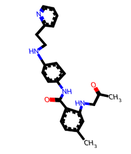 CC(=O)CNc1cc(C)ccc1C(=O)Nc1ccc(NCCc2ccccn2)cc1